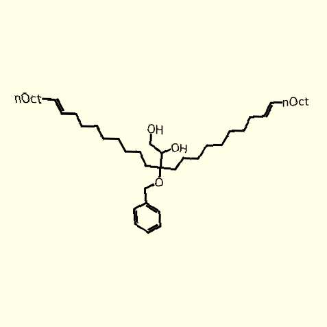 CCCCCCCCC=CCCCCCCCCC(CCCCCCCCC=CCCCCCCCC)(OCc1ccccc1)C(O)CO